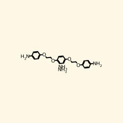 N.N.Nc1ccc(OCCOc2ccc(OCCOc3ccc(N)cc3)cc2)cc1